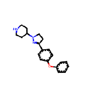 c1ccc(Oc2ccc(C3=NN(C4CCNCC4)CC3)cc2)cc1